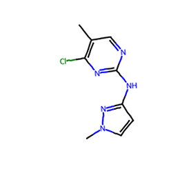 Cc1cnc(Nc2ccn(C)n2)nc1Cl